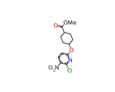 COC(=O)C1CCC(Oc2ccc([N+](=O)[O-])c(Cl)n2)CC1